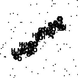 CC[C@H](C)[C@@H]([C@@H](CC(=O)N1CCC[C@H]1[C@H](OC)[C@@H](C)C(=S)N[C@@H](Cc1ccccc1)c1nccs1)OC)N(C)C(=O)[C@@H](NC(=O)C(C)(C)NC(=O)OCc1ccc(N(C(=O)[C@@H](NC(=O)CCCCCN2C(=O)C=CC2=O)C(C)C)[C@@H](CCCNC(N)=O)C(N)=O)cc1)C(C)C